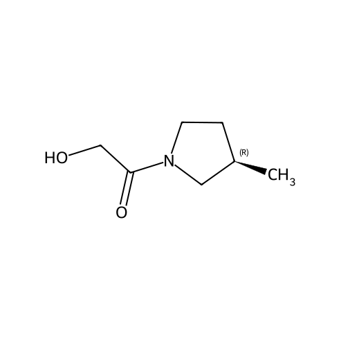 C[C@@H]1CCN(C(=O)CO)C1